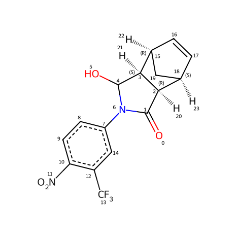 O=C1[C@H]2[C@@H](C(O)N1c1ccc([N+](=O)[O-])c(C(F)(F)F)c1)[C@H]1C=C[C@@H]2C1